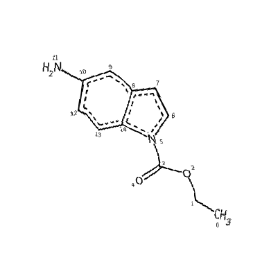 CCOC(=O)n1ccc2cc(N)ccc21